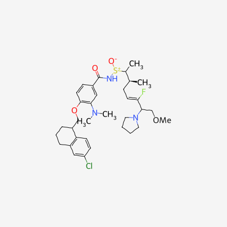 COCC(/C(F)=C/C[C@H](C)C(C)[S+]([O-])NC(=O)c1ccc(OCC2CCCc3cc(Cl)ccc32)c(N(C)C)c1)N1CCCC1